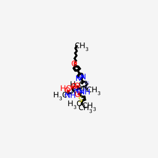 C=C(/C=C\C(=C/C)C[C@H](NC(=O)c1ccc(C(C)(C)C)s1)C(=O)N[C@H](CC(=O)NC)C(=O)O)c1ncc(-c2ccc(OCCCCCCC)cc2)cn1